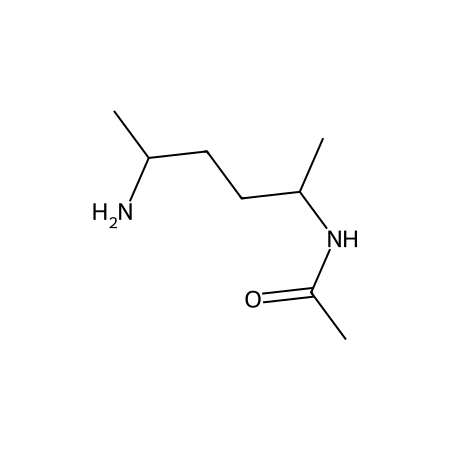 CC(=O)NC(C)CCC(C)N